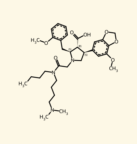 CCCCN(CCCCN(C)C)C(=O)CN1C[C@H](c2cc(OC)c3c(c2)OCO3)[C@@H](C(=O)O)[C@@H]1Cc1ccccc1OC